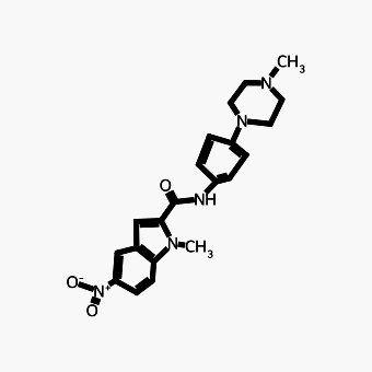 CN1CCN(c2ccc(NC(=O)c3cc4cc([N+](=O)[O-])ccc4n3C)cc2)CC1